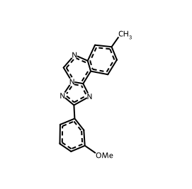 COc1cccc(-c2nc3c4ccc(C)cc4ncn3n2)c1